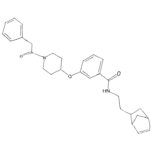 O=C(NCCC1CC2C=CC1C2)c1cccc(OC2CCN(C(=O)Cc3ccccc3)CC2)c1